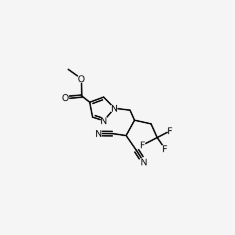 COC(=O)c1cnn(CC(CC(F)(F)F)C(C#N)C#N)c1